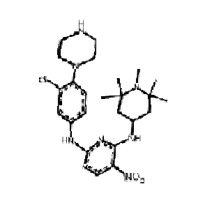 CN1C(C)(C)CC(Nc2nc(Nc3ccc(N4CCNCC4)c(Cl)c3)ncc2[N+](=O)[O-])CC1(C)C